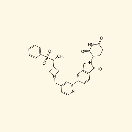 CN(C1CN(Cc2ccnc(-c3ccc4c(c3)CN(C3CCC(=O)NC3=O)C4=O)c2)C1)S(=O)(=O)c1ccccc1